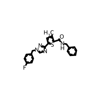 Cc1cc(-c2ncn(Cc3ccc(F)cc3)n2)sc1C(=O)NCc1ccccc1